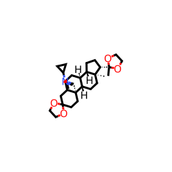 CC1([C@H]2CC[C@H]3[C@@H]4CC=C5CC6(CC[C@]5(C=NC5CC5)[C@H]4CC[C@]23C)OCCO6)OCCO1